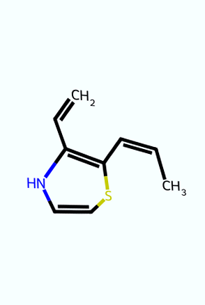 C=CC1=C(/C=C\C)SC=CN1